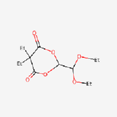 CCOC(OCC)C1OC(=O)C(CC)(CC)C(=O)O1